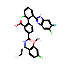 CCC[C@H](NC(=O)c1ccc(-c2c(Cl)cccc2-c2nc3cc(Cl)c(F)cc3[nH]2)c(C(=O)O)c1)c1ccc(Cl)cc1OC